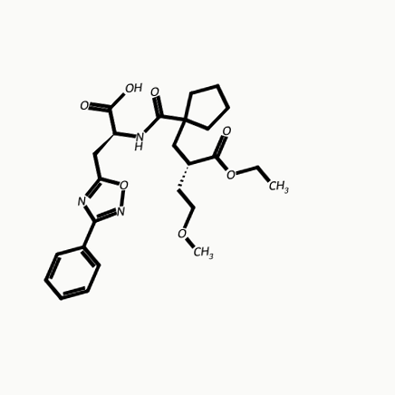 CCOC(=O)[C@H](CCOC)CC1(C(=O)N[C@@H](Cc2nc(-c3ccccc3)no2)C(=O)O)CCCC1